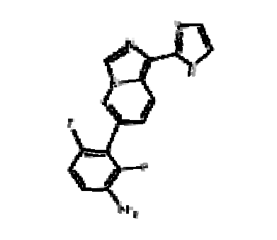 Nc1ccc(F)c(-c2ccc3c(-c4ncc[nH]4)ncn3n2)c1F